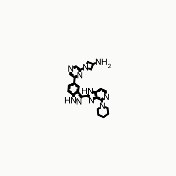 NC1CN(c2cncc(-c3ccc4[nH]nc(-c5nc6c(N7CCCCC7)nccc6[nH]5)c4c3)n2)C1